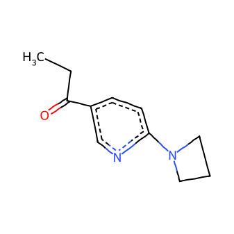 CCC(=O)c1ccc(N2CCC2)nc1